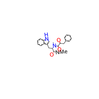 CNC(=O)C(Cc1c[nH]c2ccccc12)N(C)C(=O)C(=O)Cc1ccccc1